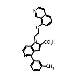 Cc1cccc(-c2nccc3c2cc(C(=O)O)n3CCOc2cccc3ccncc23)c1